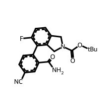 CC(C)(C)OC(=O)N1Cc2ccc(F)c(-c3ccc(C#N)cc3C(N)=O)c2C1